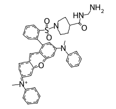 CN(c1ccccc1)c1cc(-c2ccccc2S(=O)(=O)N2CCC(C(=O)NCN)CC2)c2cc3cc/c(=[N+](\C)c4ccccc4)cc-3oc2c1